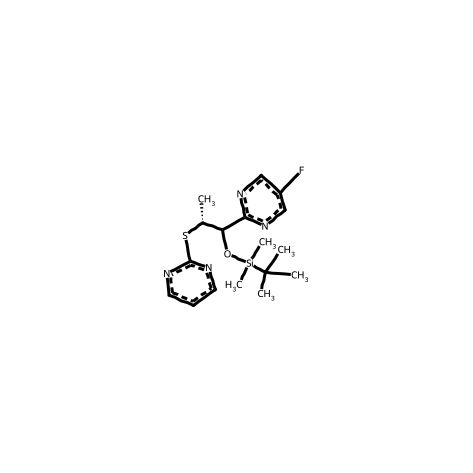 C[C@@H](Sc1ncccn1)C(O[Si](C)(C)C(C)(C)C)c1ncc(F)cn1